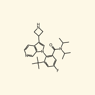 CC(C)N(C(=O)c1cc(F)cc(C(C)(C)C)c1-n1cc(C2CNC2)c2ccncc21)C(C)C